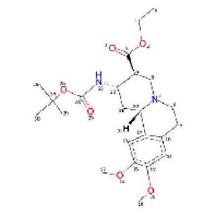 CCOC(=O)[C@H]1CN2CCc3cc(OC)c(OC)cc3[C@@H]2C[C@@H]1NC(=O)OC(C)(C)C